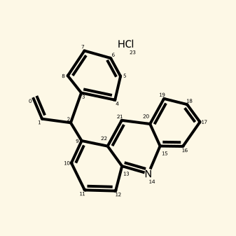 C=CC(c1ccccc1)c1cccc2nc3ccccc3cc12.Cl